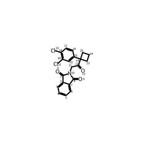 O=C1c2ccccc2C(=O)N1CC(=O)C1(c2ccc(Cl)c(Cl)c2)CCC1